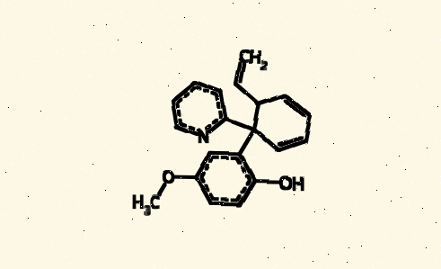 C=CC1C=CC=CC1(c1ccccn1)c1cc(OC)ccc1O